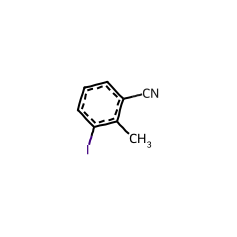 Cc1c(I)cccc1C#N